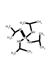 CC(C)[N]=[Ta]([NH]C(C)C)([NH]C(C)C)[NH]C(C)C